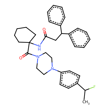 CC(F)c1ccc(N2CCN(C(=O)C3(NC(=O)CC(c4ccccc4)c4ccccc4)CCCCC3)CC2)cc1